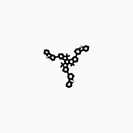 CC1(C)c2ccc(-c3ccc4sc5ccccc5c4c3)cc2-c2c1c1c(c3c2C(C)(C)c2ccc(-c4ccc5sc6ccccc6c5c4)cc2-3)C(C)(C)c2ccc(-c3ccc4sc5ccccc5c4c3)cc2-1